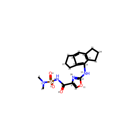 CN(C)S(=O)(=O)NC(=O)c1coc(Nc2c3c(cc4c2CCC4)CCC3)n1